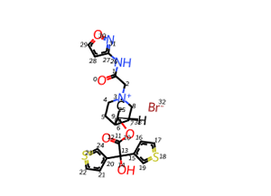 O=C(C[N+]12CCC(CC1)[C@@H](OC(=O)C(O)(c1ccsc1)c1ccsc1)C2)Nc1ccon1.[Br-]